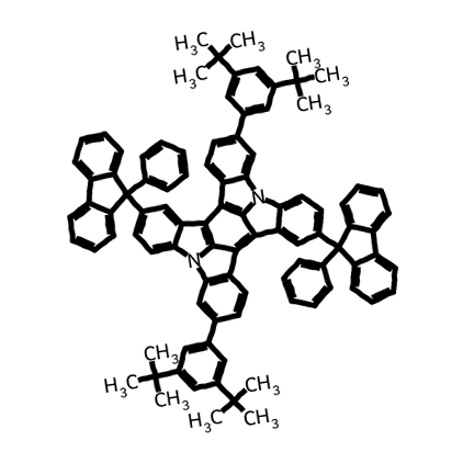 CC(C)(C)c1cc(-c2ccc3c4c5c6cc(C7(c8ccccc8)c8ccccc8-c8ccccc87)ccc6n6c7cc(-c8cc(C(C)(C)C)cc(C(C)(C)C)c8)ccc7c(c7c8cc(C9(c%10ccccc%10)c%10ccccc%10-c%10ccccc%109)ccc8n(c3c2)c74)c56)cc(C(C)(C)C)c1